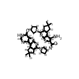 CC1(C)Cc2c(N3CCCC3)nc3sc(C(N)=O)c(N)c3c2C1.CC1(C)Cc2c(N3CCCC3)nc3sc4c(=O)[nH]cnc4c3c2C1